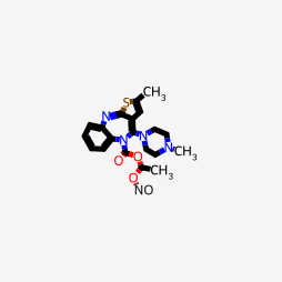 Cc1cc2c(s1)=Nc1ccccc1N(C(=O)OC(C)ON=O)C=2N1CCN(C)CC1